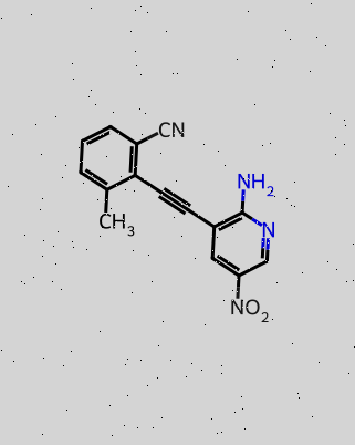 Cc1cccc(C#N)c1C#Cc1cc([N+](=O)[O-])cnc1N